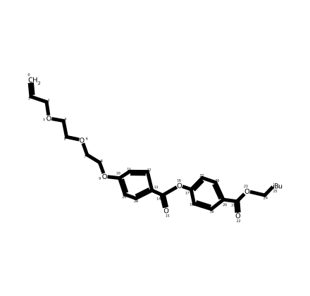 C=CCOCCOCCOc1ccc(C(=O)Oc2ccc(C(=O)OCC(C)CC)cc2)cc1